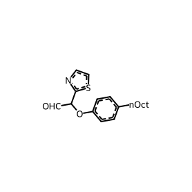 CCCCCCCCc1ccc(OC(C=O)c2nccs2)cc1